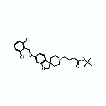 CC(C)(C)OC(=O)CCCN1CCC2(CC1)COc1cc(OCc3c(Cl)cccc3Cl)ccc12